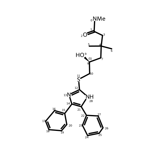 CNC(=O)CC(C)(C)C[C@H](O)CSc1nc(-c2ccccc2)c(-c2ccccc2)[nH]1